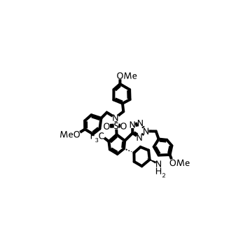 COc1ccc(CN(Cc2ccc(OC)cc2)S(=O)(=O)c2c(C(F)(F)F)ccc([C@H]3CC[C@H](N)CC3)c2-c2nnn(Cc3ccc(OC)cc3)n2)cc1